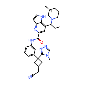 CCC(c1cc(C(=O)Nc2cccc(C3(c4nncn4C)CC(CC#N)C3)c2)nc2cc[nH]c12)N1CCC[C@H](C)C1